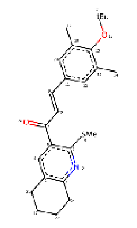 CSc1nc2c(cc1C(=O)/C=C/c1cc(C)c(OC(C)(C)C)c(C)c1)CCCC2